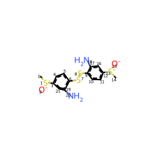 C[S+]([O-])c1ccc(SSc2ccc([S+](C)[O-])cc2N)c(N)c1